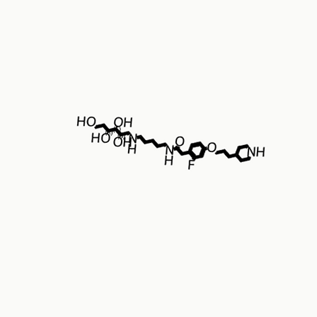 O=C(Cc1ccc(OCCCC2CCNCC2)cc1F)NCCCCCNC[C@H](O)[C@@H](O)[C@H](O)CCO